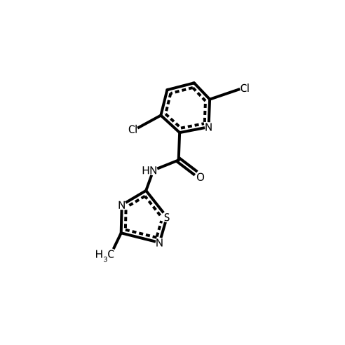 Cc1nsc(NC(=O)c2nc(Cl)ccc2Cl)n1